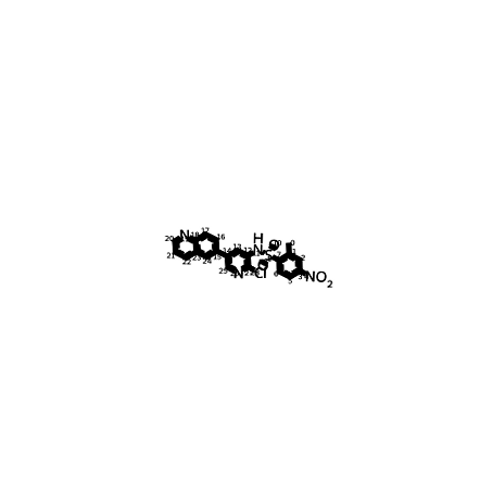 Cc1cc([N+](=O)[O-])ccc1S(=O)(=O)Nc1cc(-c2ccc3ncccc3c2)cnc1Cl